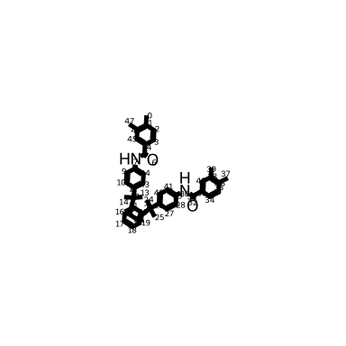 Cc1ccc(C(=O)Nc2ccc(C(C)(C)C3c4ccc(cc4)C3C(C)(C)c3ccc(NC(=O)c4ccc(C)c(C)c4)cc3)cc2)cc1C